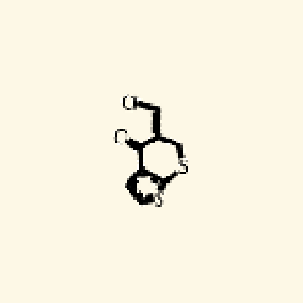 O=C1/C(=C\Cl)CSc2sccc21